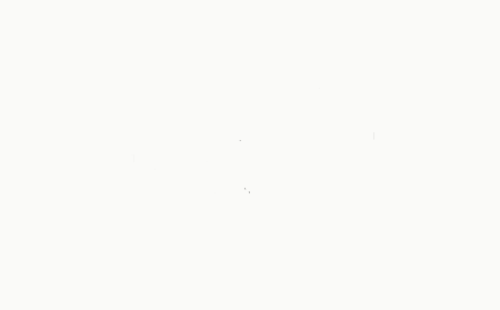 CN1/C(=C/C2C(O)CC2O)C(C)(C)c2cc(Cl)ccc21